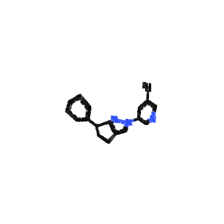 [2H]c1cncc(-n2cc3c(n2)C(c2ccccc2)CC3)c1